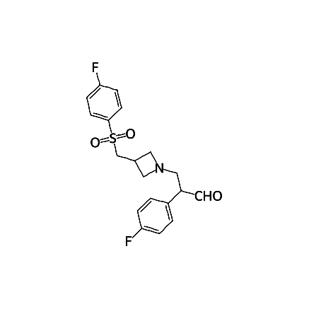 O=CC(CN1CC(CS(=O)(=O)c2ccc(F)cc2)C1)c1ccc(F)cc1